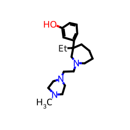 CCC1(c2cccc(O)c2)CCCCN(CCN2CCN(C)CC2)C1